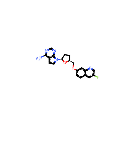 Nc1ncnc2c1ccn2[C@H]1CC[C@@H](COc2ccc3cc(F)cnc3c2)O1